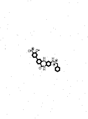 COc1cc(-c2ccc3c(c2)Nc2cc(NS(=O)(=O)Cc4ccccc4)ccc2NC3=O)ccc1[N+](=O)[O-]